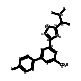 Cc1ccc(-c2cc(C(=O)O)cc(-c3n[nH]c(C(C)N(C)C)n3)c2)cc1